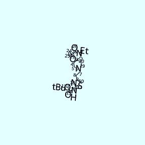 CCN1CC2(CCN(CCc3csc(NC(=O)OC(C)(C)C)n3)CC2)OC2(CC2)C1=O